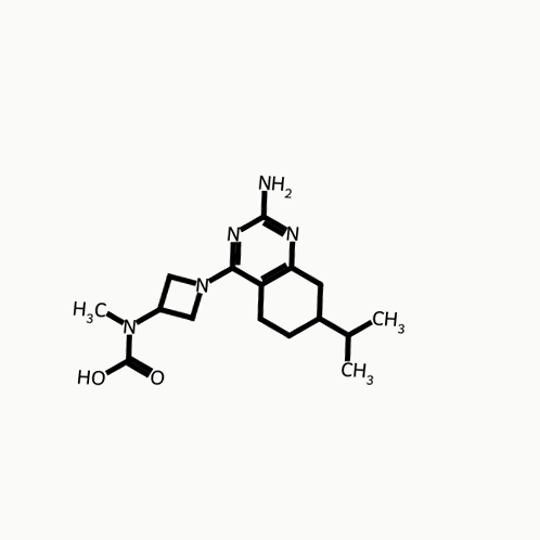 CC(C)C1CCc2c(nc(N)nc2N2CC(N(C)C(=O)O)C2)C1